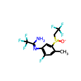 Cc1cc(F)c(/N=C(\N)C(F)(F)F)cc1[S+]([O-])CC(F)(F)F